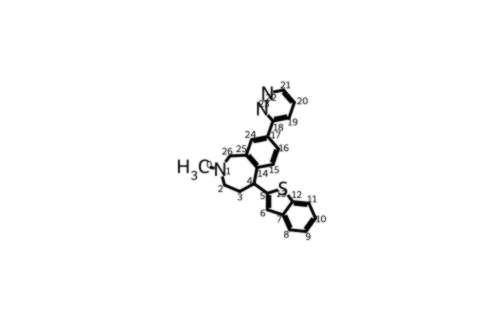 CN1CCC(c2cc3ccccc3s2)c2ccc(-c3cccnn3)cc2C1